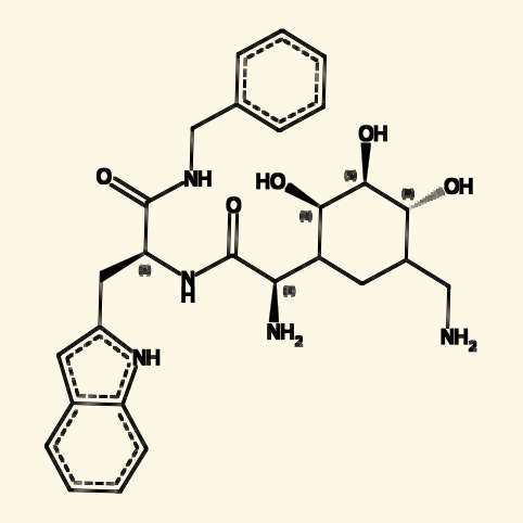 NCC1CC([C@@H](N)C(=O)N[C@@H](Cc2cc3ccccc3[nH]2)C(=O)NCc2ccccc2)[C@@H](O)[C@@H](O)[C@@H]1O